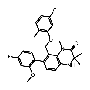 COc1cc(F)ccc1-c1ccc2c(c1COc1cc(Cl)ccc1C)N(C)C(=O)C(C)(C)N2